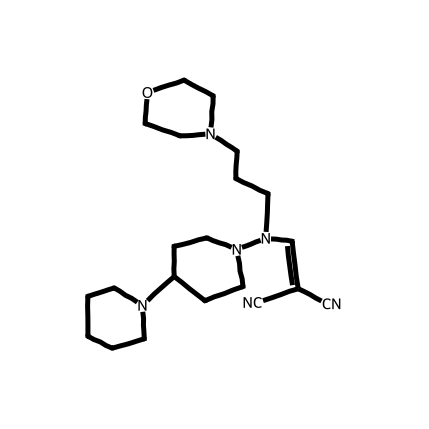 N#CC(C#N)=CN(CCCN1CCOCC1)N1CCC(N2CCCCC2)CC1